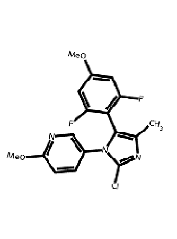 COc1cc(F)c(-c2c(C)nc(Cl)n2-c2ccc(OC)nc2)c(F)c1